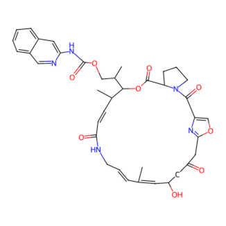 CC1=C\C(O)CC(=O)Cc2nc(co2)C(=O)N2CCCC2C(=O)OC(C(C)COC(=O)Nc2cc3ccccc3cn2)C(C)/C=C/C(=O)NC\C=C\1